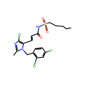 CCCCCS(=O)(=O)NC(=O)C=Cc1c(Cl)nc(C)n1Cc1ccc(Cl)cc1Cl